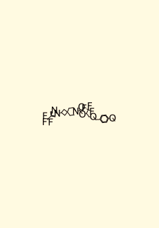 COc1ccc(COCC(OC(=O)N2CCC3(CC2)CC(n2cc(C(F)(F)F)cn2)C3)C(F)(F)F)cc1